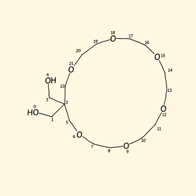 OCC1(CO)COCCOCCOCCOCCOCCOC1